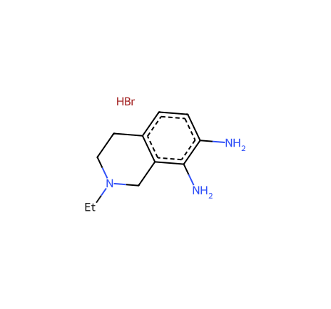 Br.CCN1CCc2ccc(N)c(N)c2C1